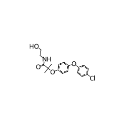 CC(C)(Oc1ccc(Oc2ccc(Cl)cc2)cc1)C(=O)NCCO